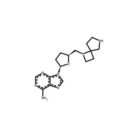 Nc1ncnc2c1ncn2[C@H]1CC[C@@H](CN2CCC23CCNC3)O1